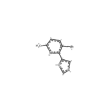 Cc1ccc(C(C)C)c(-c2cnco2)n1